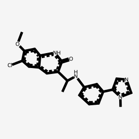 COc1cc2[nH]c(=O)c(C(C)Nc3cccc(-c4cncn4C)c3)cc2cc1Cl